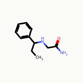 CCC(NCC(N)=O)c1ccccc1